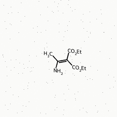 CCOC(=O)C(C(=O)OCC)=C(C)N